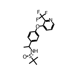 CC(N[S@+]([O-])C(C)(C)C)c1ccc(Oc2cccnc2C(F)(F)F)cc1